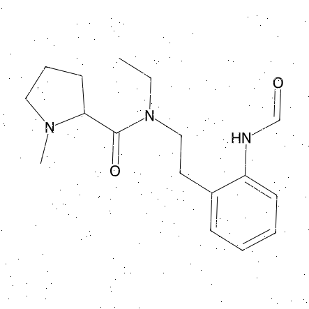 CCN(CCc1ccccc1NC=O)C(=O)C1CCCN1C